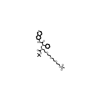 CC(C)(C)OC(=O)N(CCOCCOCCOCCOS(C)(=O)=O)C[C@@H](C(=O)Nc1ccc2cnccc2c1)c1ccccc1